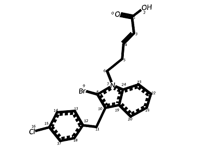 O=C(O)C=CCCn1c(Br)c(Cc2ccc(Cl)cc2)c2ccccc21